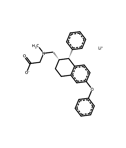 CN(CC(=O)[O-])C[C@H]1CCc2cc(Oc3ccccc3)ccc2[C@H]1c1ccccc1.[Li+]